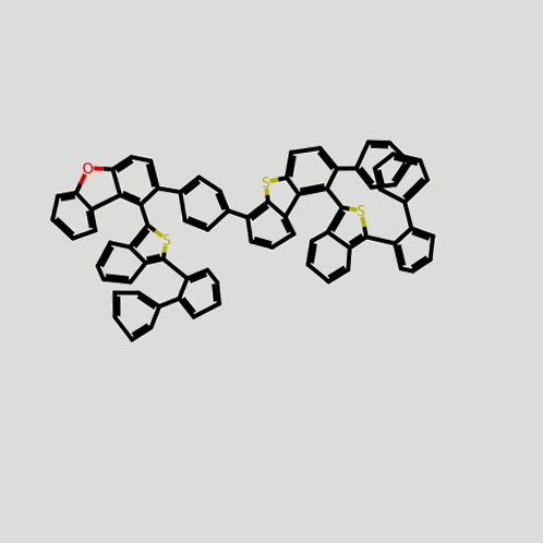 c1ccc(-c2ccccc2-c2sc(-c3c(-c4ccc(-c5cccc6c5sc5ccc(-c7ccccc7)c(-c7sc(-c8ccccc8-c8ccccc8)c8ccccc78)c56)cc4)ccc4oc5ccccc5c34)c3ccccc23)cc1